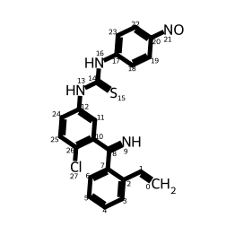 C=Cc1ccccc1C(=N)c1cc(NC(=S)Nc2ccc(N=O)cc2)ccc1Cl